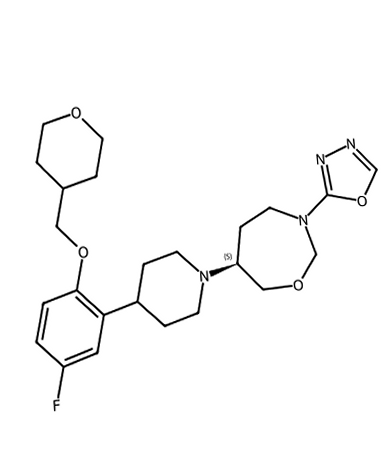 Fc1ccc(OCC2CCOCC2)c(C2CCN([C@H]3CCN(c4nnco4)COC3)CC2)c1